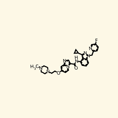 CN1CCN(CCOc2ccn3c(C(=O)Nc4cccc5c4c(C4CC4)nn5Cc4ccc(F)cn4)cnc3c2)CC1